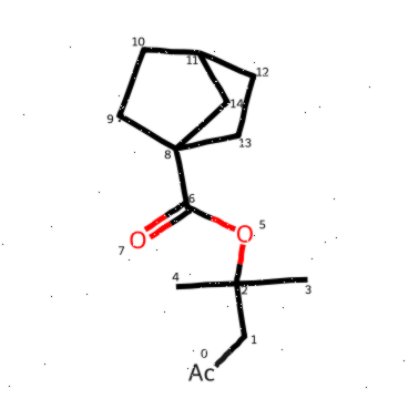 CC(=O)CC(C)(C)OC(=O)C12[CH]CC(CC1)C2